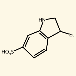 CCC1CNc2cc(S(=O)(=O)O)ccc21